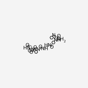 NC(=O)c1cnc2ccccc2c1Nc1ccc(C(=O)NCCCCNC(=O)CNc2cccc3c2C(=O)N(C2CCC(=O)NC2=O)C3=O)cc1